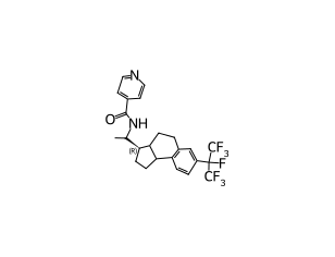 CC(NC(=O)c1ccncc1)[C@@H]1CCC2c3ccc(C(F)(C(F)(F)F)C(F)(F)F)cc3CCC21